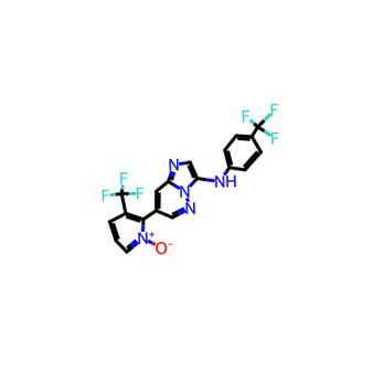 [O-][n+]1cccc(C(F)(F)F)c1-c1cnn2c(Nc3ccc(C(F)(F)F)cc3)cnc2c1